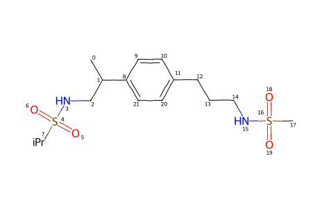 CC(CNS(=O)(=O)C(C)C)c1ccc(CCCNS(C)(=O)=O)cc1